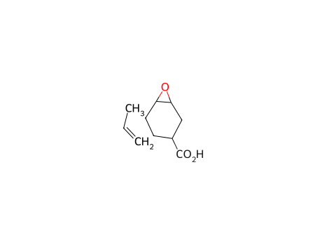 C=CC.O=C(O)C1CCC2OC2C1